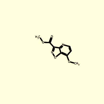 COC(=O)c1noc2c(OC)ccnc12